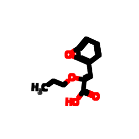 CCCOC(=Cc1cccc2c1O2)C(=O)O